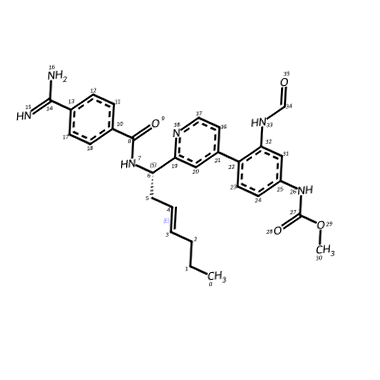 CCC/C=C/C[C@H](NC(=O)c1ccc(C(=N)N)cc1)c1cc(-c2ccc(NC(=O)OC)cc2NC=O)ccn1